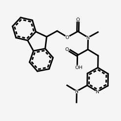 CN(C)c1cc(CC(C(=O)O)N(C)C(=O)OCC2c3ccccc3-c3ccccc32)ccn1